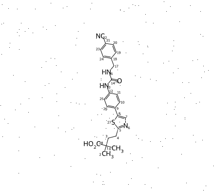 CC(C)(CCc1ncc(-c2ccc(NC(=O)NCc3ccc(C#N)cc3)cc2)s1)C(=O)O